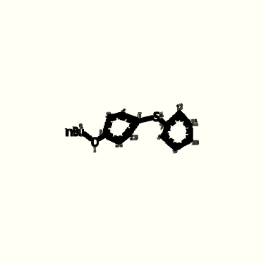 CCCCOc1ccc(Sc2ccccc2)cc1